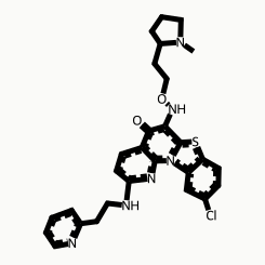 CN1CCCC1CCONc1c(=O)c2ccc(NCCc3ccccn3)nc2n2c1sc1ccc(Cl)cc12